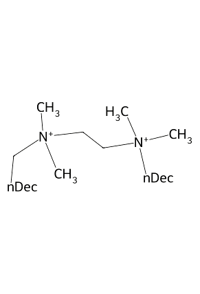 CCCCCCCCCCC[N+](C)(C)CC[N+](C)(C)CCCCCCCCCC